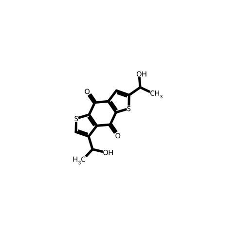 CC(O)c1cc2c(s1)C(=O)c1c(C(C)O)csc1C2=O